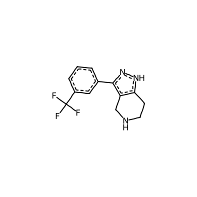 FC(F)(F)c1cccc(-c2n[nH]c3c2CNCC3)c1